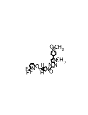 CC(=O)N1CCC(c2cc3nc(C(=O)N4C[C@@H]5[C@H](COc6cccc(C(F)(F)F)n6)[C@@H]5C4)cnc3n2C)CC1